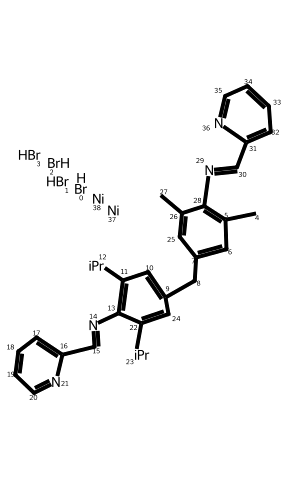 Br.Br.Br.Br.Cc1cc(Cc2cc(C(C)C)c(N=Cc3ccccn3)c(C(C)C)c2)cc(C)c1N=Cc1ccccn1.[Ni].[Ni]